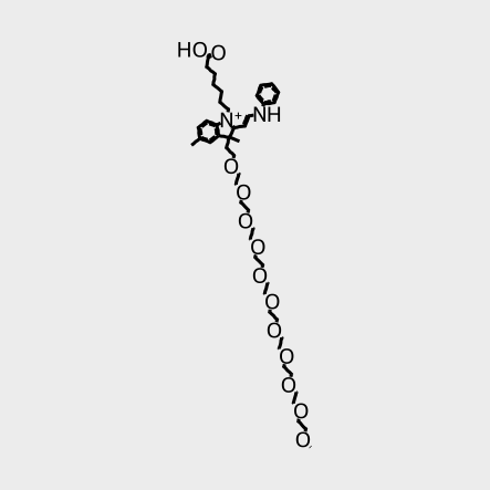 COCCOCCOCCOCCOCCOCCOCCOCCOCCOCCOCCC1(C)C(/C=C/Nc2ccccc2)=[N+](CCCCCCC(=O)O)c2ccc(C)cc21